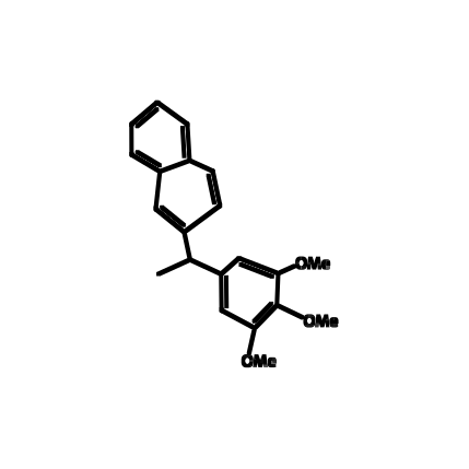 COc1cc(C(C)c2ccc3ccccc3c2)cc(OC)c1OC